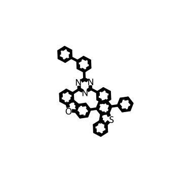 c1ccc(-c2cccc(-c3nc(-c4ccccc4)nc(-c4cccc5oc6ccc(-c7ccc(-c8ccccc8)c8sc9ccccc9c78)cc6c45)n3)c2)cc1